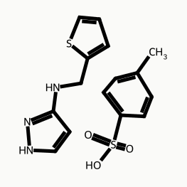 Cc1ccc(S(=O)(=O)O)cc1.c1csc(CNc2cc[nH]n2)c1